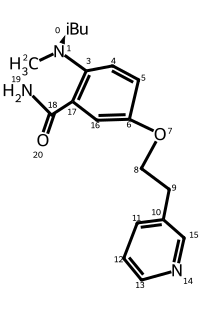 CC[C@H](C)N(C)c1ccc(OCCc2cccnc2)cc1C(N)=O